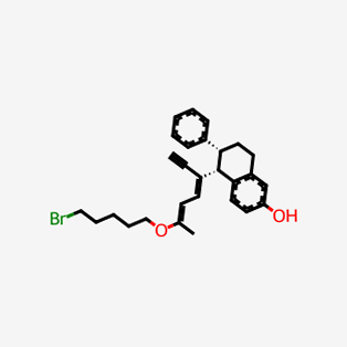 C#C/C(=C\C=C(/C)OCCCCCBr)[C@H]1c2ccc(O)cc2CC[C@H]1c1ccccc1